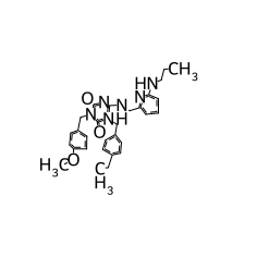 CCCNc1cccc(CNc2nc(=O)n(Cc3ccc(OC)cc3)c(=O)n2Cc2ccc(CC)cc2)n1